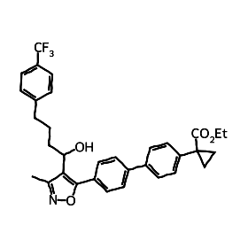 CCOC(=O)C1(c2ccc(-c3ccc(-c4onc(C)c4C(O)CCCc4ccc(C(F)(F)F)cc4)cc3)cc2)CC1